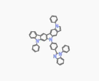 c1ccc(-n2ccc3cc4c(cc32)c2cc3c5ccccc5n(-c5ccccc5)c3cc2n4-c2ccc(-c3nc4ccccc4n3-c3ccccc3)cc2)cc1